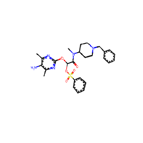 Cc1nc(OC(OS(=O)(=O)c2ccccc2)C(=O)N(C)C2CCN(Cc3ccccc3)CC2)nc(C)c1N